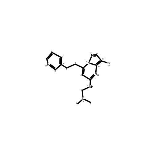 CN(C)CNc1cc(CCc2cccnc2)n2ncc(Br)c2n1